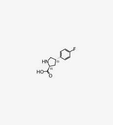 O=C(O)[C@@H]1C[C@@H](c2ccc(F)cc2)CN1